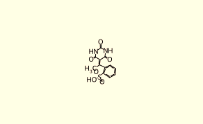 CC(=C1C(=O)NC(=O)NC1=O)c1ccccc1S(=O)(=O)O